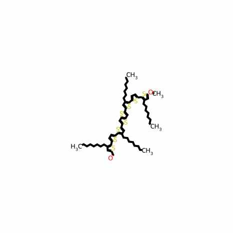 CCCCCCCCc1cc(C=O)sc1-c1ccc(-c2sc(-c3cc4sc(-c5cc(CCCCCCCC)c(-c6ccc(-c7sc(OC)cc7CCCCCCCC)s6)s5)cc4s3)cc2CCCCCCCC)s1